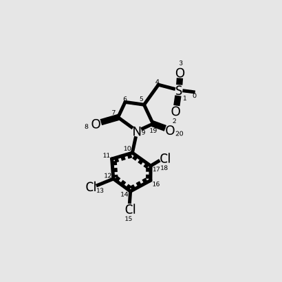 CS(=O)(=O)CC1CC(=O)N(c2cc(Cl)c(Cl)cc2Cl)C1=O